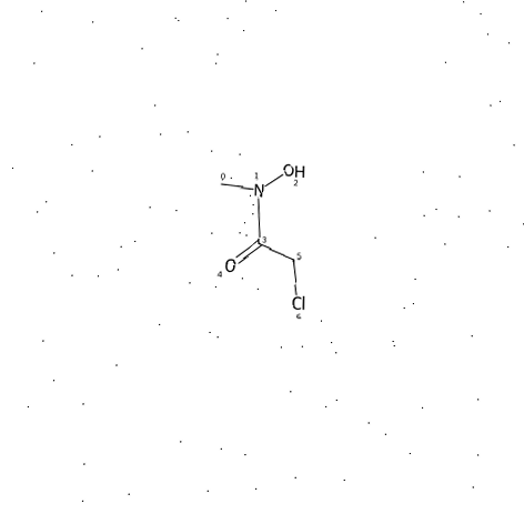 CN(O)C(=O)CCl